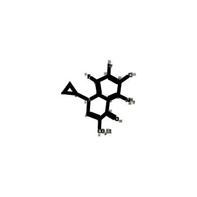 CCOC(=O)c1cn(C2CC2)c2c(F)c(Br)c(Cl)c(N)c2c1=O